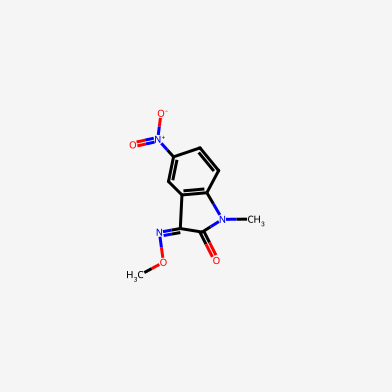 CON=C1C(=O)N(C)c2ccc([N+](=O)[O-])cc21